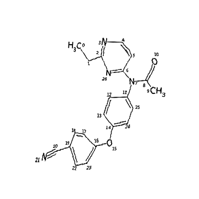 CCc1nccc(N(C(C)=O)c2ccc(Oc3ccc(C#N)cc3)cc2)n1